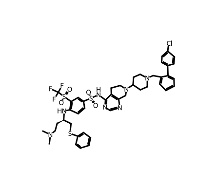 CN(C)CC[C@H](CSc1ccccc1)Nc1ccc(S(=O)(=O)Nc2ncnc3c2CCN(C2CCN(Cc4ccccc4-c4ccc(Cl)cc4)CC2)C3)cc1S(=O)(=O)C(F)(F)F